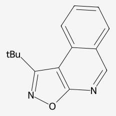 CC(C)(C)c1noc2ncc3ccccc3c12